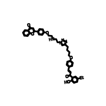 CCc1ccc(O)c(C(=O)/C=C/c2ccc(OCCCCc3cn(CCNCCOc4ccc(-c5cc(=O)c6ccccc6o5)cc4)nn3)cc2)c1